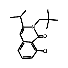 CC(C)c1cc2cccc(Cl)c2c(=O)n1CC(C)(C)C